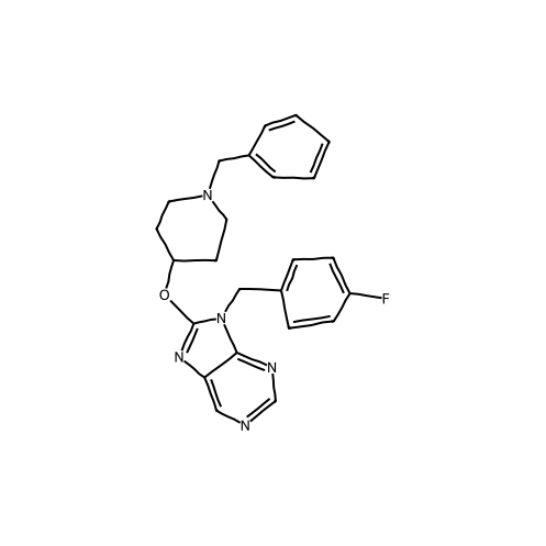 Fc1ccc(Cn2c(OC3CCN(Cc4ccccc4)CC3)nc3cncnc32)cc1